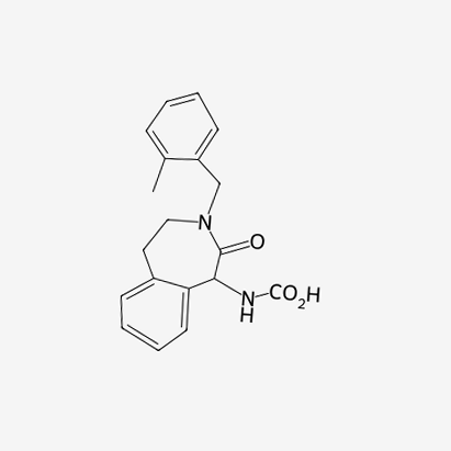 Cc1ccccc1CN1CCc2ccccc2C(NC(=O)O)C1=O